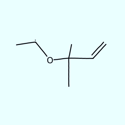 C=CC(C)(C)O[CH]C